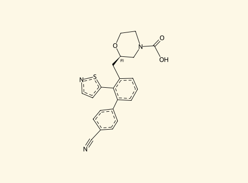 N#Cc1ccc(-c2cccc(C[C@@H]3CN(C(=O)O)CCO3)c2-c2ccns2)cc1